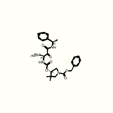 CCCC[C@H](NC(=O)O[C@@H]1CN(C(=O)OCc2ccccc2)CC1(C)C)C(=O)C(=O)N[C@H](C)c1ccccc1